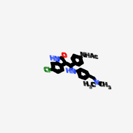 CC(=O)Nc1ccc(C(Nc2ccc(CN(C)C)cc2)=C2C(=O)Nc3cc(Cl)ccc32)cc1